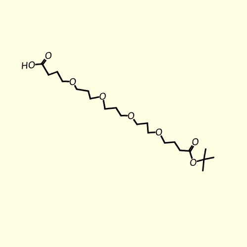 CC(C)(C)OC(=O)CCCOCCCOCCCOCCCOCCCC(=O)O